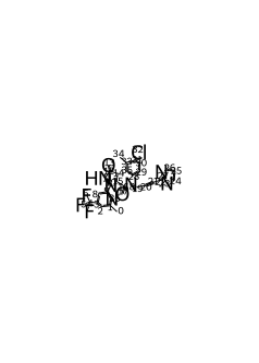 Cc1cc(C(F)(F)F)cc(N2NC(=O)CC2C(=O)N(CC#Cc2ncccn2)c2ccc(Cl)c(C)c2)n1